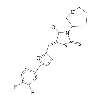 O=C1C(=Cc2ccc(-c3ccc(F)c(F)c3)o2)SC(=S)N1C1CCCCCC1